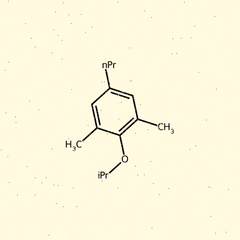 CCCc1cc(C)c(OC(C)C)c(C)c1